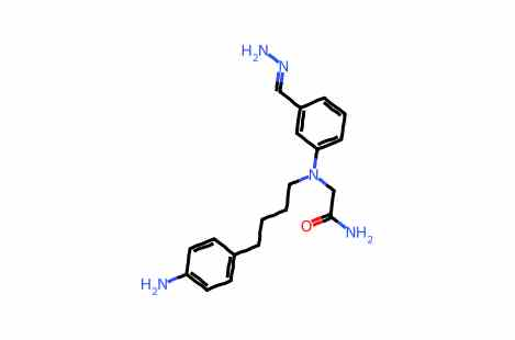 NN=Cc1cccc(N(CCCCc2ccc(N)cc2)CC(N)=O)c1